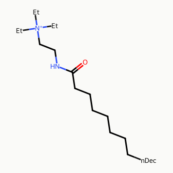 CCCCCCCCCCCCCCCCCC(=O)NCC[N+](CC)(CC)CC